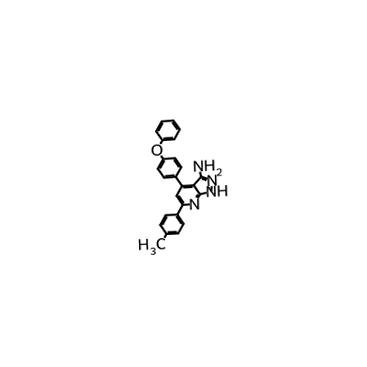 Cc1ccc(-c2cc(-c3ccc(Oc4ccccc4)cc3)c3c(N)n[nH]c3n2)cc1